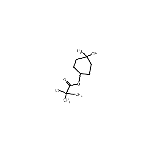 CCC(C)(C)C(=O)OC1CCC(C)(O)CC1